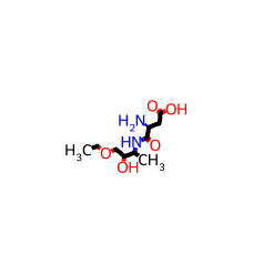 CCOCC(O)C(C)NC(=O)[C@@H](N)CC(=O)O